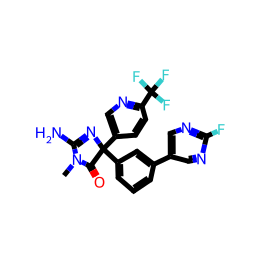 CN1C(=O)C(c2ccc(C(F)(F)F)nc2)(c2cccc(-c3cnc(F)nc3)c2)N=C1N